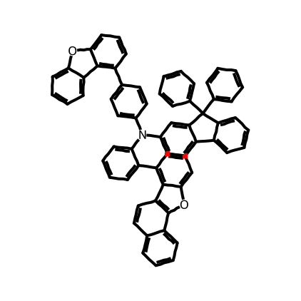 c1ccc(C2(c3ccccc3)c3ccccc3-c3ccc(N(c4ccc(-c5cccc6oc7ccccc7c56)cc4)c4ccccc4-c4cccc5oc6c7ccccc7ccc6c45)cc32)cc1